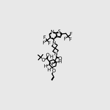 C=CCO[C@H]1C[C@H]2CC[C@@H]1N(C(=O)OC(C)(C)C)[C@H]2C(=O)N1CC2(C1)CN(c1c(C(F)(F)F)cnc3sc(CC(F)(F)F)cc13)C2